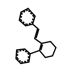 C(=Cc1ccccc1)C1=C(c2ccccc2)CCCC1